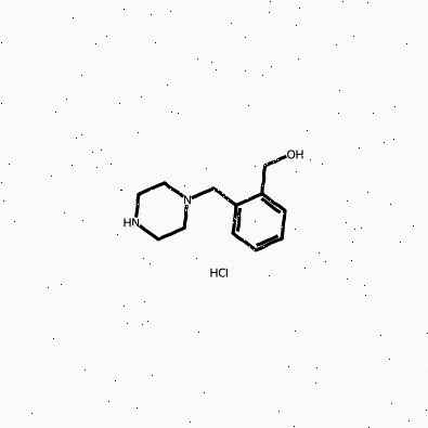 Cl.OCc1ccccc1CN1CCNCC1